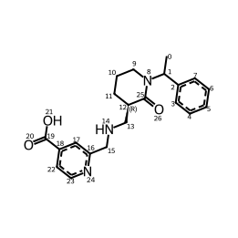 CC(c1ccccc1)N1CCC[C@H](CNCc2cc(C(=O)O)ccn2)C1=O